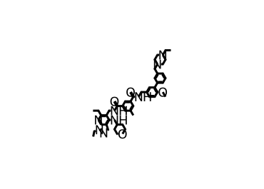 CCc1nc2c(cnn2CC)c(NC2CCOCC2)c1CNC(=O)c1cc(C)cc(C(=O)NCc2ccc(OC)c(-c3cccc(CN4CCN(CC)CC4)c3)c2)c1